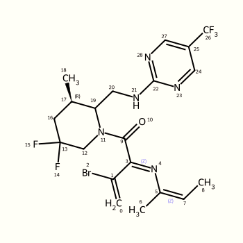 C=C(Br)/C(=N\C(C)=C/C)C(=O)N1CC(F)(F)C[C@@H](C)C1CNc1ncc(C(F)(F)F)cn1